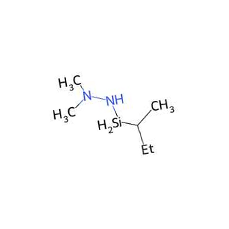 CCC(C)[SiH2]NN(C)C